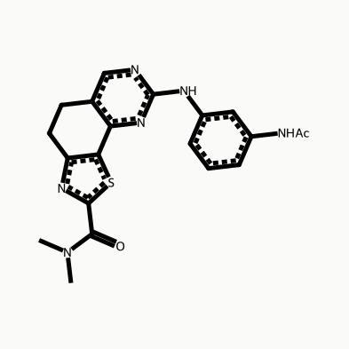 CC(=O)Nc1cccc(Nc2ncc3c(n2)-c2sc(C(=O)N(C)C)nc2CC3)c1